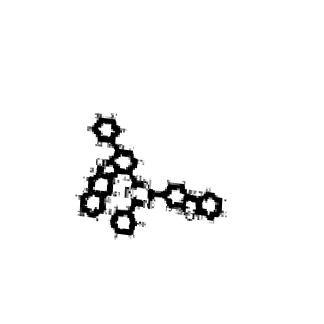 c1ccc(-c2nc(-c3ccc4c(c3)oc3ccccc34)nc(-c3ccc(-c4ccccc4)c4oc5cc6ccccc6cc5c34)n2)cc1